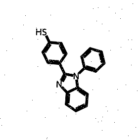 Sc1ccc(-c2nc3ccccc3n2-c2ccccc2)cc1